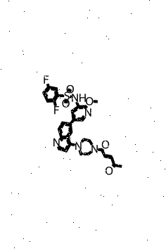 COc1ncc(-c2ccc3nccc(N4CCN(C(=O)C=CC(C)=O)CC4)c3c2)cc1NS(=O)(=O)c1cc(F)ccc1F